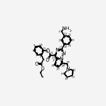 CCOC(=O)Cc1ccccc1OC(=O)c1nc(-c2cccc(CN)c2)nn2c(CN3CCCC3)ccc12